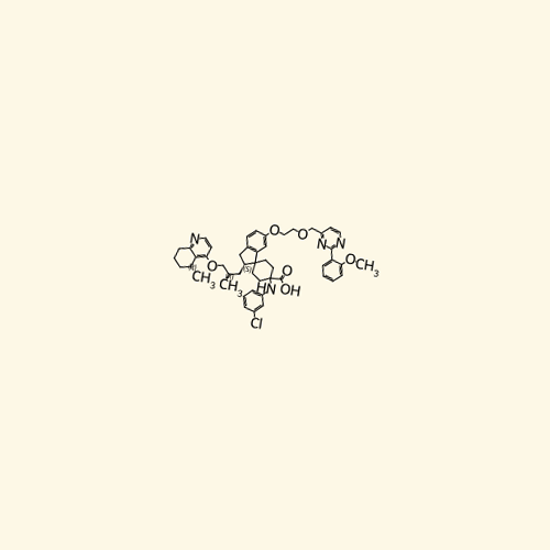 COc1ccccc1-c1nccc(COCCOc2ccc3c(c2)C2(CCC(Nc4cccc(Cl)c4)(C(=O)O)CC2)[C@@H](C[C@@H](C)COc2ccnc4c2[C@H](C)CCC4)C3)n1